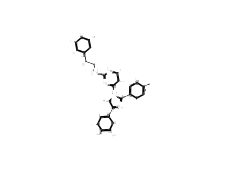 Fc1ccc(-c2nc(-c3ccc(F)c(Cl)c3)cn2-c2ccnc(NCCc3ccccc3)n2)cc1